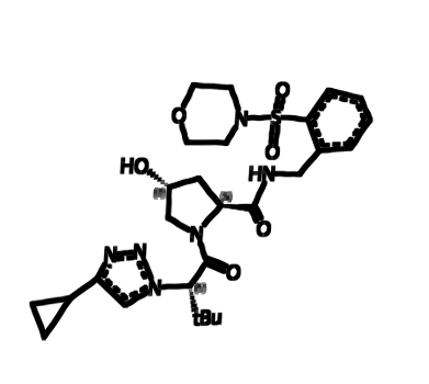 CC(C)(C)[C@@H](C(=O)N1C[C@H](O)C[C@H]1C(=O)NCc1ccccc1S(=O)(=O)N1CCOCC1)n1cc(C2CC2)nn1